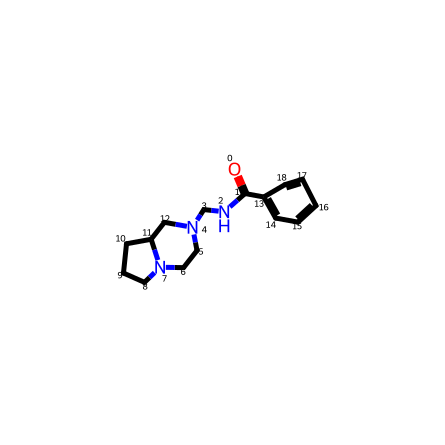 O=C(NCN1CCN2CCCC2C1)c1ccccc1